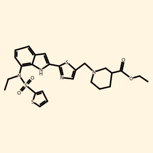 CCOC(=O)C1CCCN(Cc2cnc(-c3cc4cccc(N(CC)S(=O)(=O)c5cccs5)c4[nH]3)s2)C1